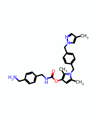 Cc1cnn(Cc2ccc(Cn3c(C)cc(OC(=O)NCc4ccc(CN)cc4)c3C)cc2)c1